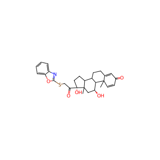 CC12C=CC(=O)C=C1CCC1C2[C@@H](O)CC2(C)C1CC[C@]2(O)C(=O)CSc1nc2ccccc2o1